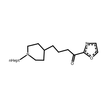 CCCCCCCN1CCC(CCCC(=O)c2ncco2)CC1